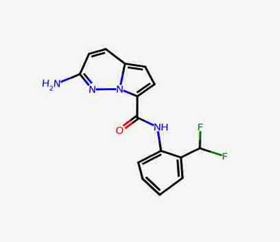 Nc1ccc2ccc(C(=O)Nc3ccccc3C(F)F)n2n1